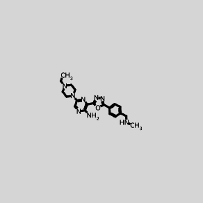 CCN1CCN(c2cnc(N)c(-c3nnc(-c4ccc(CNC)cc4)o3)n2)CC1